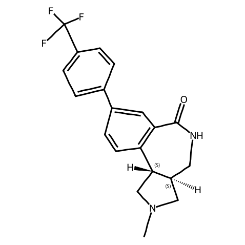 CN1C[C@@H]2CNC(=O)c3cc(-c4ccc(C(F)(F)F)cc4)ccc3[C@H]2C1